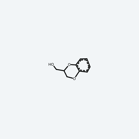 OC[C]1COc2ccccc2O1